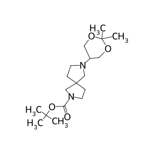 CC(C)(C)OC(=O)N1CCC2(CCN(C3COC(C)(C)OC3)C2)C1